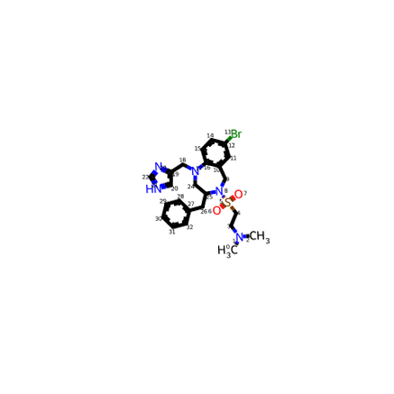 CN(C)CCS(=O)(=O)N1Cc2cc(Br)ccc2N(Cc2c[nH]cn2)CC1Cc1ccccc1